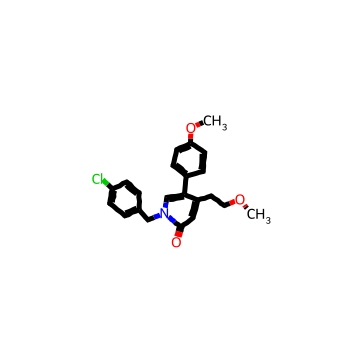 COCCc1cc(=O)n(Cc2ccc(Cl)cc2)cc1-c1ccc(OC)cc1